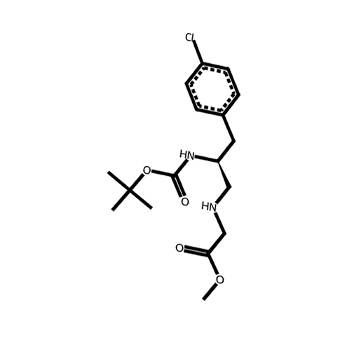 COC(=O)CNC[C@H](Cc1ccc(Cl)cc1)NC(=O)OC(C)(C)C